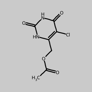 CC(=O)OCc1[nH]c(=O)[nH]c(=O)c1Cl